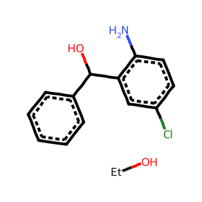 CCO.Nc1ccc(Cl)cc1C(O)c1ccccc1